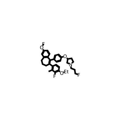 CCOc1ccc(C2=C(c3ccc(OC4CCN(CCCF)C4)cc3)c3ccc(OF)cc3CCC2)c(C)c1F